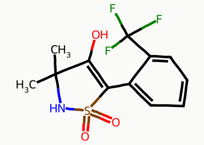 CC1(C)NS(=O)(=O)C(c2ccccc2C(F)(F)F)=C1O